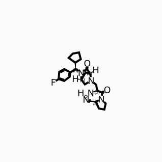 N#C[C@@H]1CCCN1C(=O)[C@@H](N)CN1C[C@@H]2C[C@H]1C(=O)N2[C@@H](c1ccc(F)cc1)C1CCCC1